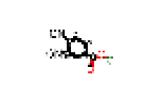 O=Nc1ccc(C(=O)OCl)cc1N=O